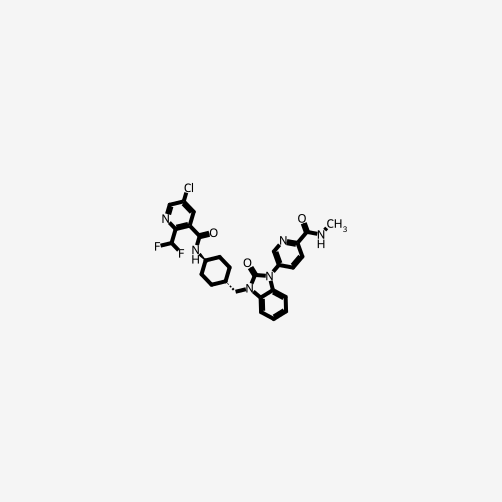 CNC(=O)c1ccc(-n2c(=O)n(C[C@H]3CC[C@H](NC(=O)c4cc(Cl)cnc4C(F)F)CC3)c3ccccc32)cn1